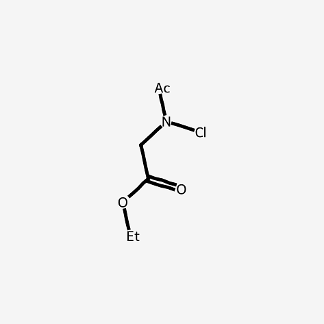 CCOC(=O)CN(Cl)C(C)=O